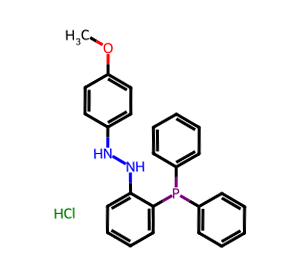 COc1ccc(NNc2ccccc2P(c2ccccc2)c2ccccc2)cc1.Cl